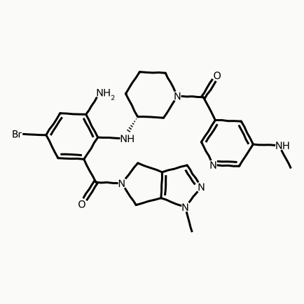 CNc1cncc(C(=O)N2CCC[C@@H](Nc3c(N)cc(Br)cc3C(=O)N3Cc4cnn(C)c4C3)C2)c1